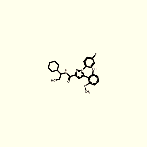 COc1cccc(O)c1-c1cc(C(=O)NC(CO)C2CCCCC2)nn1C1=C=C=C(F)C=C1